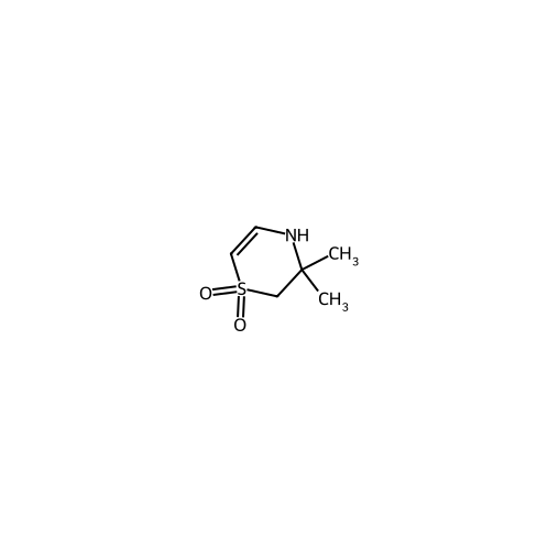 CC1(C)CS(=O)(=O)C=CN1